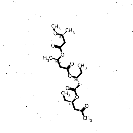 CC[C@H](CC(C)=O)OC(=O)C[C@@H](CC)OC(=O)C[C@@H](C)OC(=O)C[C@@H](C)OC